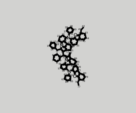 C=c1/c(=C(/c2ccccc2)c2c(Cc3ccccc3)n3c4cccc(N(c5ccccc5)c5cccc6c5oc5c(CC)cccc56)c4c4cccc2c43)n2c3cccc(N(c4ccccc4)c4cccc5c4oc4c(CC)cccc45)c3c3cccc1c32